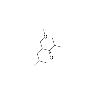 COCC(CC(C)C)C(=O)C(C)C